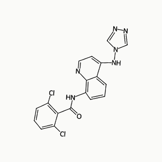 O=C(Nc1cccc2c(Nn3cnnc3)ccnc12)c1c(Cl)cccc1Cl